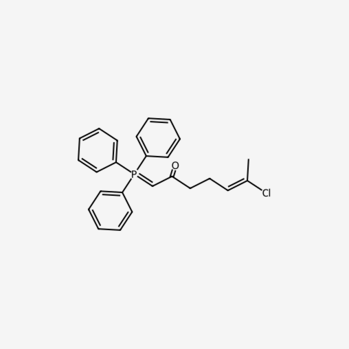 C/C(Cl)=C\CCC(=O)C=P(c1ccccc1)(c1ccccc1)c1ccccc1